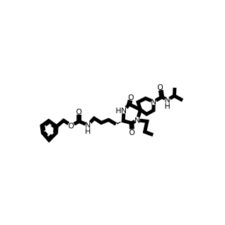 CCCN1C(=O)[C@H](CCCCNC(=O)OCc2ccccc2)NC(=O)C12CCN(C(=O)NC(C)C)CC2